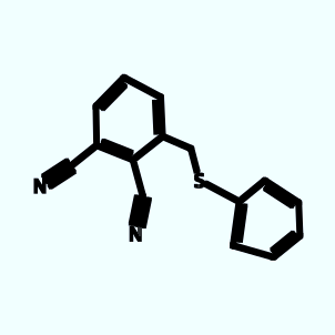 N#Cc1cccc(CSc2ccccc2)c1C#N